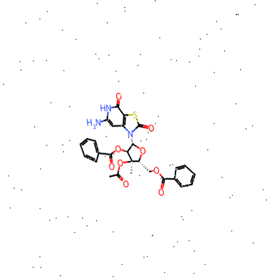 CC(=O)O[C@]1(C)[C@@H](COC(=O)c2ccccc2)O[C@@H](n2c(=O)sc3c(=O)[nH]c(N)cc32)[C@@H]1OC(=O)c1ccccc1